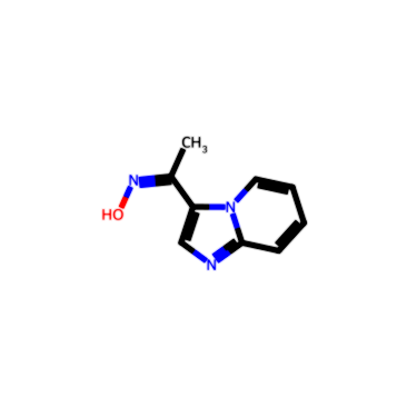 C/C(=N/O)c1cnc2ccccn12